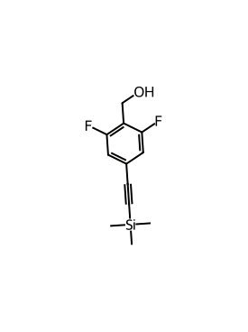 C[Si](C)(C)C#Cc1cc(F)c(CO)c(F)c1